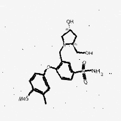 CSc1ccc(Oc2ccc(S(N)(=O)=O)cc2CN2C[C@H](O)C[C@H]2CO)cc1C